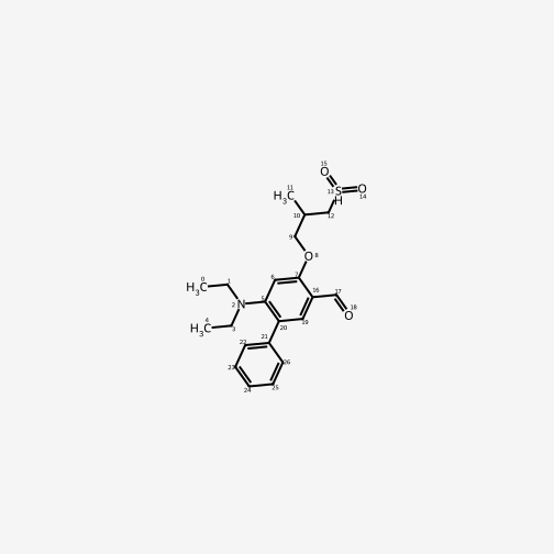 CCN(CC)c1cc(OCC(C)C[SH](=O)=O)c(C=O)cc1-c1ccccc1